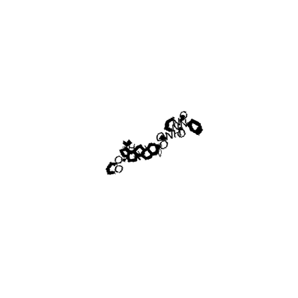 C=C(C)[C@@H]1CC[C@]2(COC3CCCCO3)CC[C@]3(C)C(CCC4[C@@]5(C)CC[C@H](OC(=O)NC6C=CCn7c(=O)n(-c8ccccc8)c(=O)n76)[C@H](C)C5CC[C@]43C)[C@@H]12